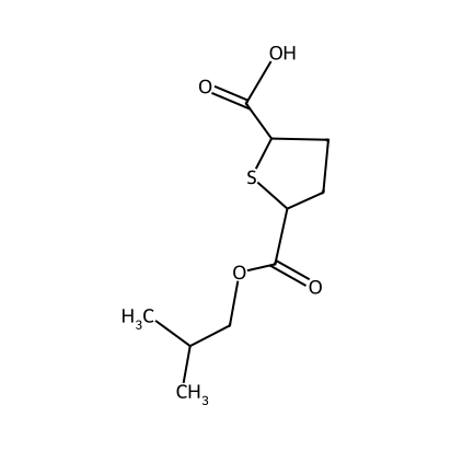 CC(C)COC(=O)C1CCC(C(=O)O)S1